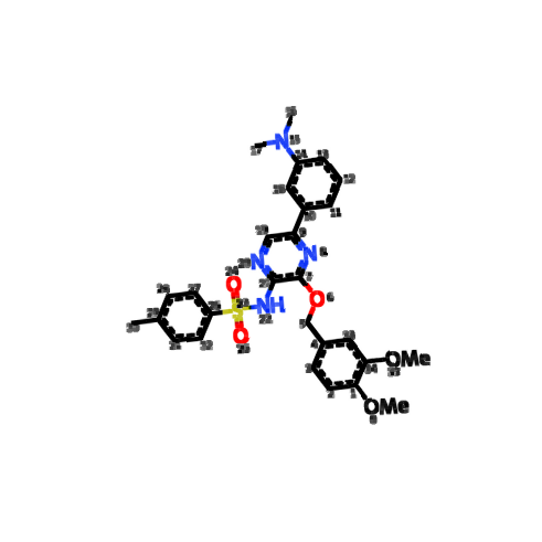 COc1ccc(COc2nc(-c3cccc(N(C)C)c3)cnc2NS(=O)(=O)c2ccc(C)cc2)cc1OC